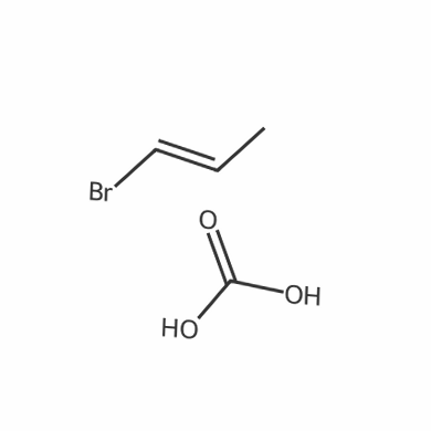 CC=CBr.O=C(O)O